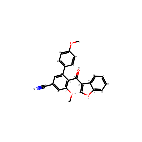 COc1ccc(-c2cc(C#N)cc(OC)c2C(=O)c2coc3ccccc23)cc1